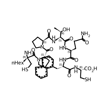 CCCCCC[C@](N)(CS)C(=O)N1CCC[C@H]1C(=O)N1CCC[C@H]1C(=O)N[C@H](C(=O)N[C@@H](CCC(N)=O)C(=O)N[C@@H](Cc1cccc2ccccc12)C(=O)N[C@@H](CS)C(=O)O)[C@@H](C)O